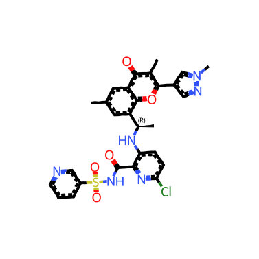 Cc1cc([C@@H](C)Nc2ccc(Cl)nc2C(=O)NS(=O)(=O)c2cccnc2)c2oc(-c3cnn(C)c3)c(C)c(=O)c2c1